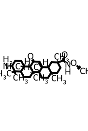 C#CONC(=O)[C@@]1(C)CC[C@]2(C)CC[C@]3(C)C(=CC(=O)[C@@H]4[C@@]5(C)CC[C@H](N)C(C)(C)C5CC[C@]43C)[C@@H]2C1